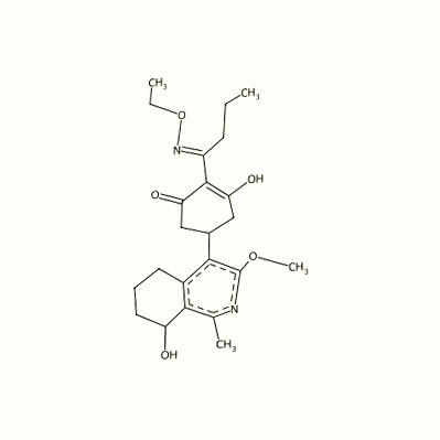 CCCC(=NOCC)C1=C(O)CC(c2c(OC)nc(C)c3c2CCCC3O)CC1=O